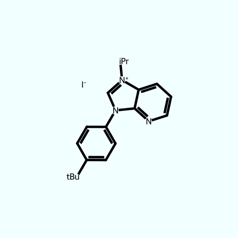 CC(C)[n+]1cn(-c2ccc(C(C)(C)C)cc2)c2ncccc21.[I-]